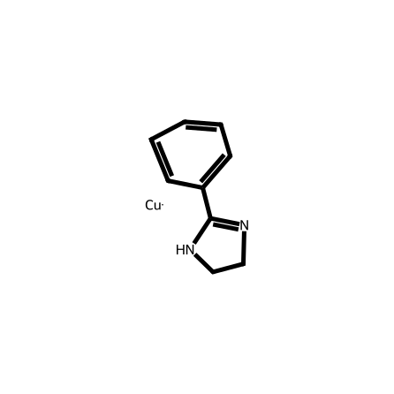 [Cu].c1ccc(C2=NCCN2)cc1